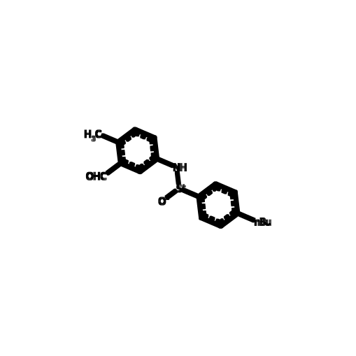 CCCCc1ccc([S+]([O-])Nc2ccc(C)c(C=O)c2)cc1